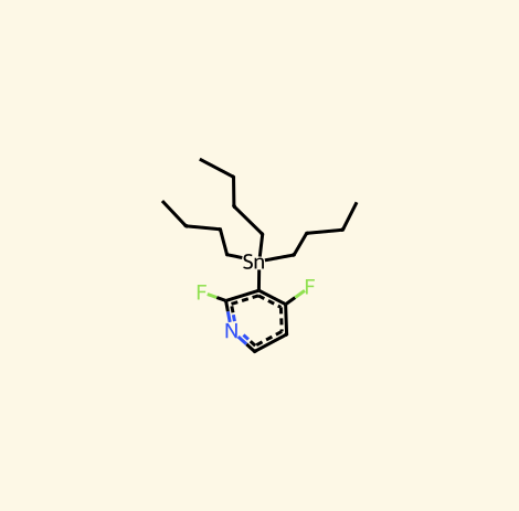 CCC[CH2][Sn]([CH2]CCC)([CH2]CCC)[c]1c(F)ccnc1F